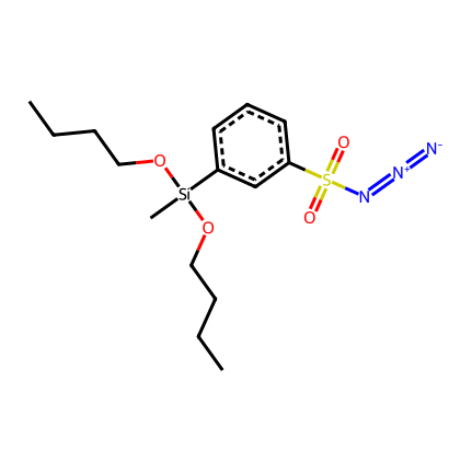 CCCCO[Si](C)(OCCCC)c1cccc(S(=O)(=O)N=[N+]=[N-])c1